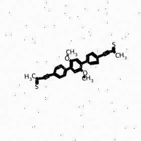 COc1cc(-c2ccc(C#CC(C)=S)cc2)c(OC)cc1-c1ccc(C#CC(C)=S)cc1